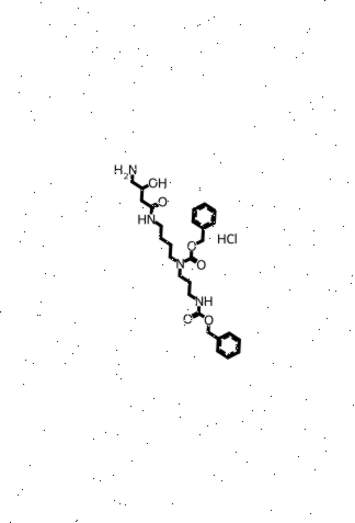 Cl.NCC(O)CC(=O)NCCCCN(CCCNC(=O)OCc1ccccc1)C(=O)OCc1ccccc1